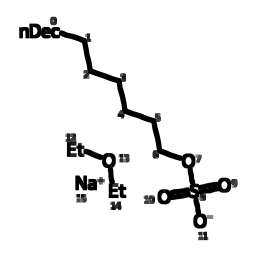 CCCCCCCCCCCCCCCCOS(=O)(=O)[O-].CCOCC.[Na+]